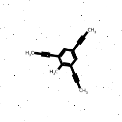 CC#Cc1cc(C#CC)c(C)c(C#CC)c1